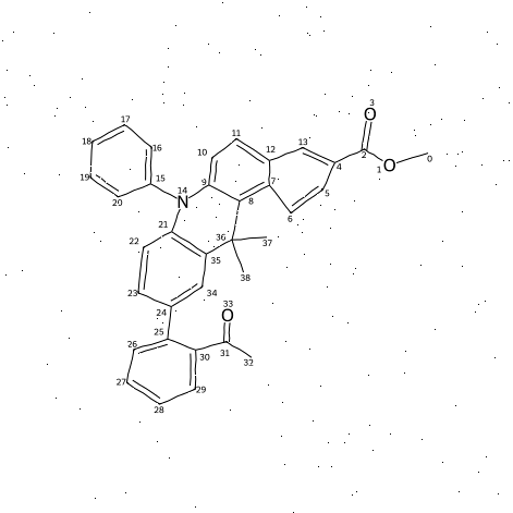 COC(=O)c1ccc2c3c(ccc2c1)N(c1ccccc1)c1ccc(-c2ccccc2C(C)=O)cc1C3(C)C